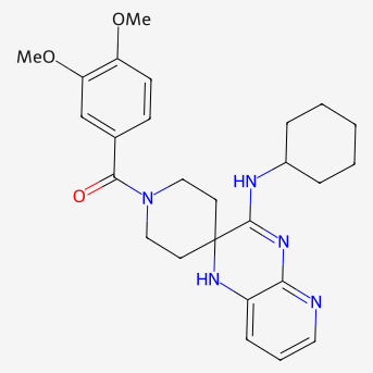 COc1ccc(C(=O)N2CCC3(CC2)Nc2cccnc2N=C3NC2CCCCC2)cc1OC